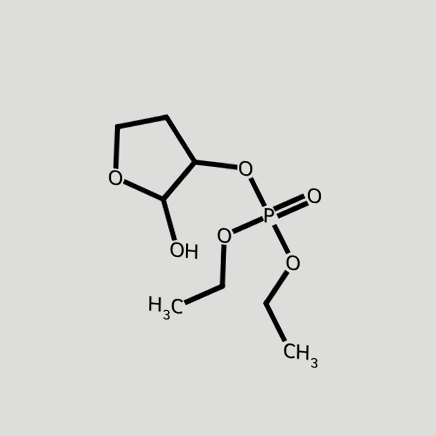 CCOP(=O)(OCC)OC1CCOC1O